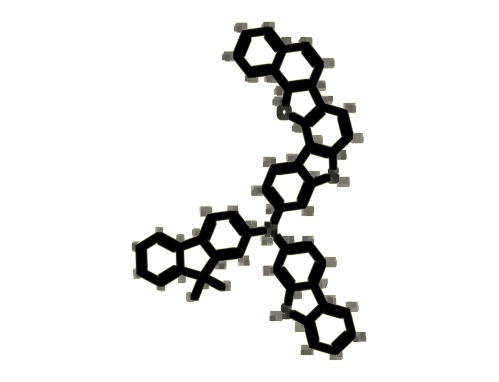 CC1(C)c2ccccc2-c2ccc(N(c3ccc4c(c3)sc3ccccc34)c3ccc4c(c3)sc3ccc5c6ccc7ccccc7c6oc5c34)cc21